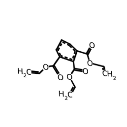 C=COC(=O)c1cccc(C(=O)OC=C)c1C(=O)OC=C